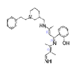 C\C(=C/C(=N\C(C)=C(/C)C=N)c1ccccc1O)NCC1CCCN(CCc2ccccc2)C1